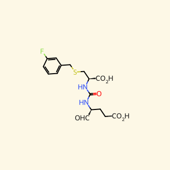 O=C[C@H](CCC(=O)O)NC(=O)N[C@@H](CSCc1cccc(F)c1)C(=O)O